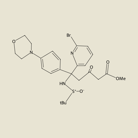 COC(=O)CC(=O)CC(N[S+]([O-])C(C)(C)C)(c1ccc(N2CCOCC2)cc1)c1cccc(Br)n1